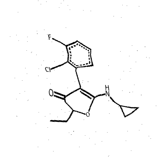 CCC1OC(NC2CC2)=C(c2cccc(F)c2Cl)C1=O